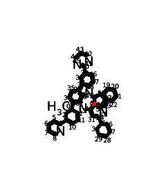 CC12CC(c3ccccn3)=CC=C1N(c1cc(-c3ccccc3)nc(C3C=CC=CC3)c1)c1c2ccc2c3cc(-c4ncccn4)ccc3n(C3C=CC=CC3)c12